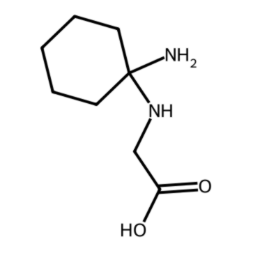 NC1(NCC(=O)O)CCCCC1